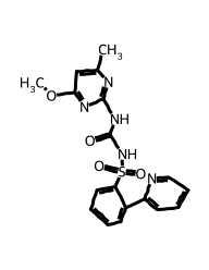 COc1cc(C)nc(NC(=O)NS(=O)(=O)c2ccccc2-c2ccccn2)n1